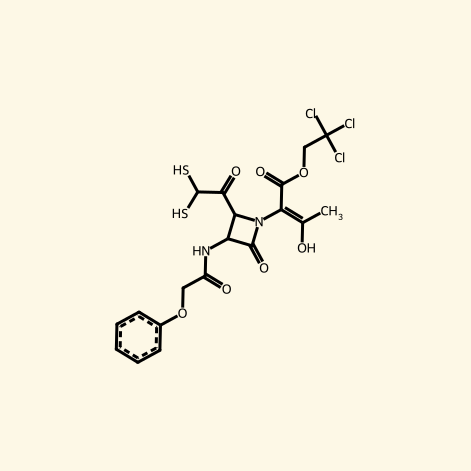 CC(O)=C(C(=O)OCC(Cl)(Cl)Cl)N1C(=O)C(NC(=O)COc2ccccc2)C1C(=O)C(S)S